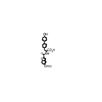 COc1ccc2oc(C(=O)NC(Cc3ccc(-c4ccc(O)cc4)cc3)C(=O)O)cc2c1